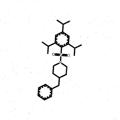 CC(C)c1cc(C(C)C)c(S(=O)(=O)N2CCC(Cc3ccccc3)CC2)c(C(C)C)c1